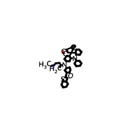 C=C(/C=C\C=C/C)N(c1ccc2c(c1)N(c1ccccc1)c1ccccc1C21c2ccccc2-c2ccccc21)c1ccc2oc3c4ccccc4sc3c2c1